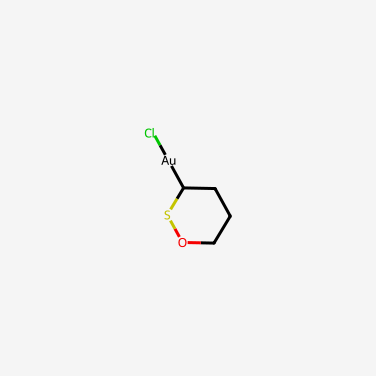 [Cl][Au][CH]1CCCOS1